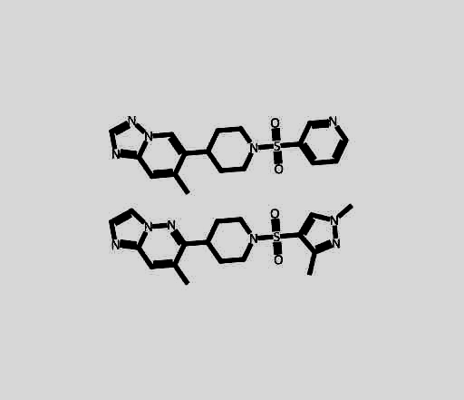 Cc1cc2nccn2nc1C1CCN(S(=O)(=O)c2cn(C)nc2C)CC1.Cc1cc2ncnn2cc1C1CCN(S(=O)(=O)c2cccnc2)CC1